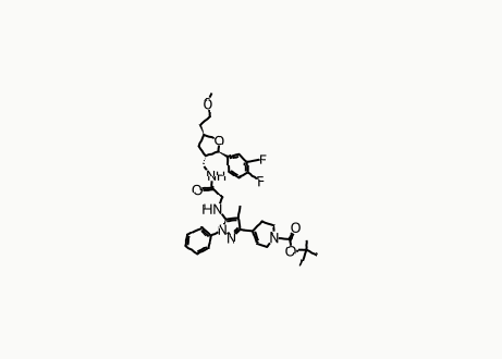 COCC[C@@H]1C[C@@H](CNC(=O)CNc2c(C)c(C3=CCN(C(=O)OC(C)(C)C)CC3)nn2-c2ccccc2)[C@H](c2ccc(F)c(F)c2)O1